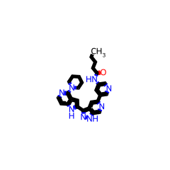 CCCCC(=O)Nc1cncc(-c2cc3c(-c4cc5c(N6CCCCC6)nccc5[nH]4)n[nH]c3cn2)c1